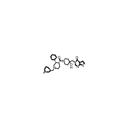 Cc1cccc(CN2CC[C@@H](C(=O)N3CCC(O)(Cn4cnc5sccc5c4=O)CC3)[C@H](c3ccccc3)C2)c1